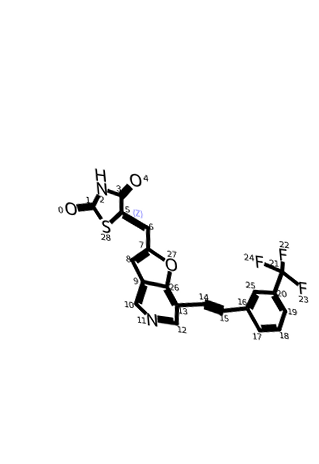 O=C1NC(=O)/C(=C/c2cc3cncc(C#Cc4cccc(C(F)(F)F)c4)c3o2)S1